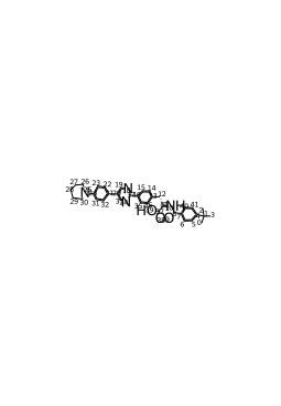 CC(C)(C)c1ccc(C(=O)N[C@@H](Cc2ccc(-c3ncc(-c4ccc(N5CCCCC5)cc4)cn3)cc2)C(=O)O)cc1